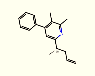 C=CC[C@H](C)c1cc(-c2ccccc2)c(C)c(C)n1